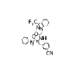 CN(C(=O)[C@H](Cc1cccc(C#N)c1)NC(=O)Cn1nc(C(F)(F)F)c2c1CCCC2)c1ccccc1